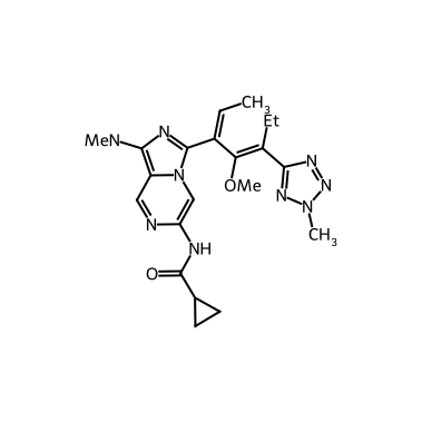 C/C=C(\C(OC)=C(/CC)c1nnn(C)n1)c1nc(NC)c2cnc(NC(=O)C3CC3)cn12